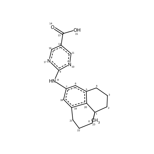 CC12CCCc3cc(Nc4ncc(C(=O)O)cn4)cc(c31)CCC2